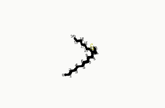 CCCCCCCCCCc1ccsc1CCCCCC